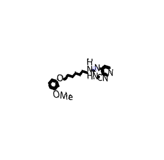 COc1cccc(OCCCCCCCN/C(=N/c2ccncc2)NC#N)c1